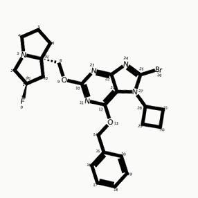 F[C@H]1CN2CCC[C@@]2(COc2nc(OCc3ccccc3)c3c(n2)nc(Br)n3C2CCC2)C1